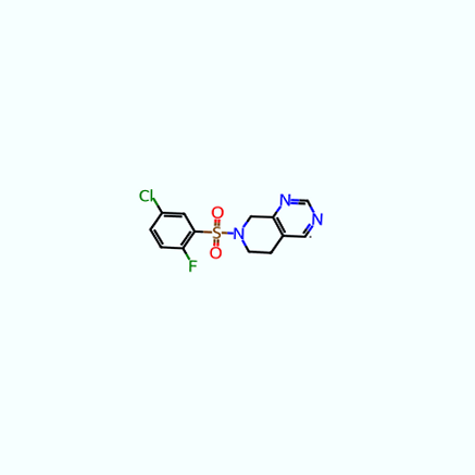 O=S(=O)(c1cc(Cl)ccc1F)N1CCc2[c]ncnc2C1